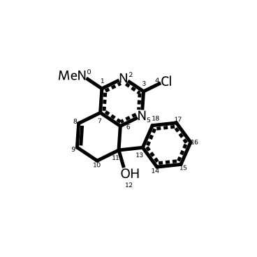 CNc1nc(Cl)nc2c1C=CCC2(O)c1ccccc1